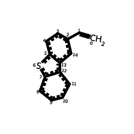 C=Cc1ccc2sc3ccccc3c2c1